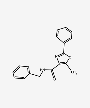 Cc1oc(-c2ccccc2)nc1C(=O)NCc1ccccc1